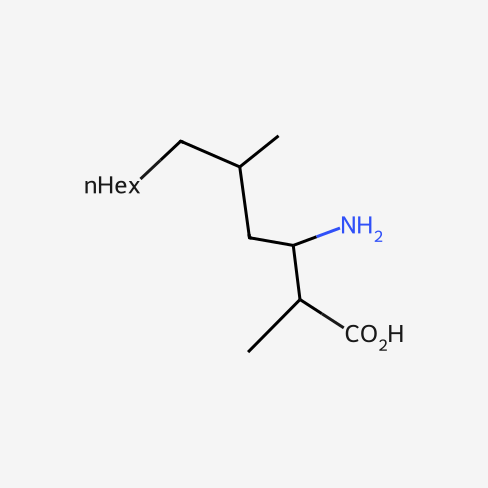 CCCCCCCC(C)CC(N)C(C)C(=O)O